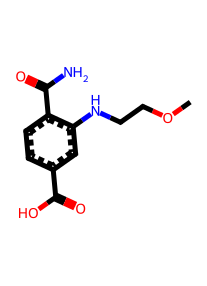 COCCNc1cc(C(=O)O)ccc1C(N)=O